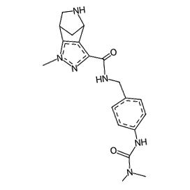 CN(C)C(=O)Nc1ccc(CNC(=O)c2nn(C)c3c2C2CC3CN2)cc1